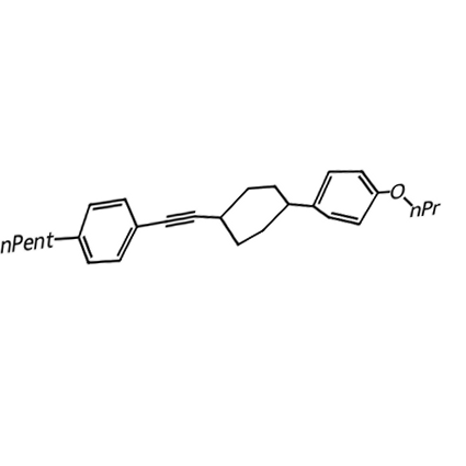 CCCCCc1ccc(C#CC2CCC(c3ccc(OCCC)cc3)CC2)cc1